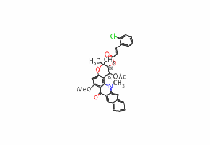 COc1cc2c(c3c1c(=O)c1cc4ccccc4cc1n3C)[C@H](OC(C)=O)[C@H](OC(=O)C=Cc1ccccc1Cl)C(C)(C)O2